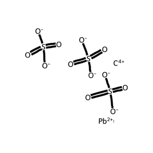 O=S(=O)([O-])[O-].O=S(=O)([O-])[O-].O=S(=O)([O-])[O-].[C+4].[Pb+2]